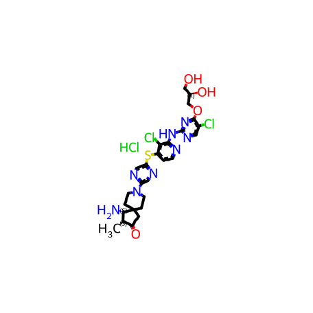 C[C@@H]1C(=O)CC2(CCN(c3cnc(Sc4ccnc(Nc5ncc(Cl)c(OC[C@H](O)CO)n5)c4Cl)cn3)CC2)[C@H]1N.Cl